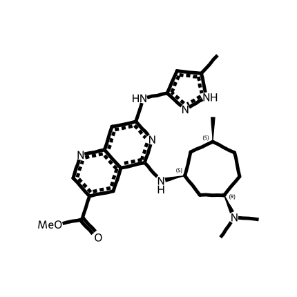 COC(=O)c1cnc2cc(Nc3cc(C)[nH]n3)nc(N[C@H]3C[C@@H](C)CC[C@@H](N(C)C)C3)c2c1